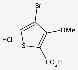 COc1c(Br)csc1C(=O)O.Cl